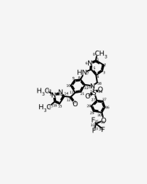 Cc1ccc2c(n1)Nc1ccc(C(=O)c3cc(C)n(C)n3)cc1N(S(=O)(=O)c1ccc(OC(F)(F)F)cc1)C2